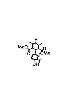 COC(=O)C1=C(C)NC(C)=C(C(=O)OC)C1c1ccc(O)c(F)c1F